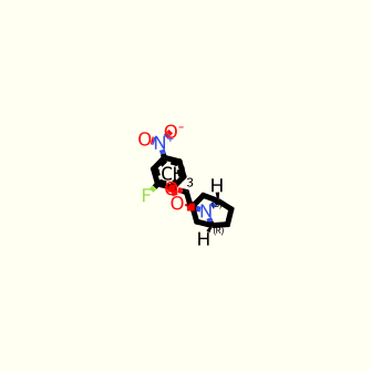 COCCN1[C@@H]2CC[C@H]1C[C@@H](Oc1ccc([N+](=O)[O-])cc1F)C2